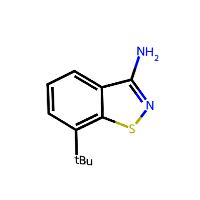 CC(C)(C)c1cccc2c(N)nsc12